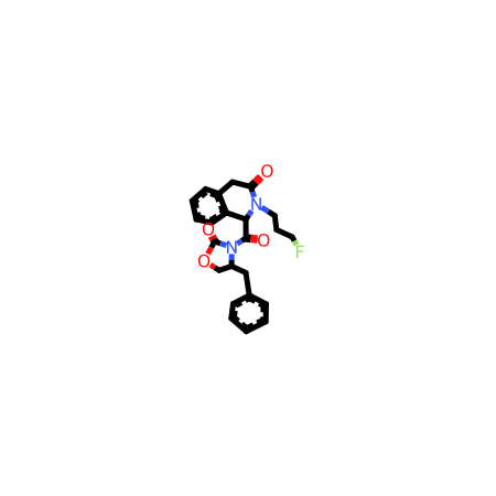 O=C1Cc2ccccc2C(C(=O)N2C(=O)OCC2Cc2ccccc2)N1CCCF